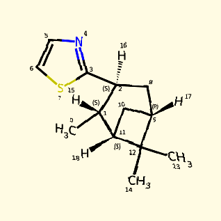 C[C@@H]1[C@@H](c2nccs2)C[C@H]2C[C@@H]1C2(C)C